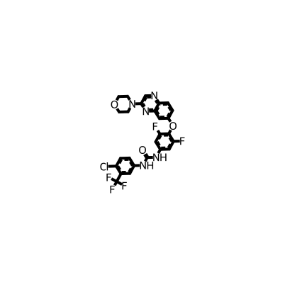 O=C(Nc1cc(F)c(Oc2ccc3ncc(N4CCOCC4)nc3c2)c(F)c1)Nc1ccc(Cl)c(C(F)(F)F)c1